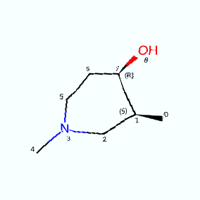 C[C@H]1CN(C)CC[C@H]1O